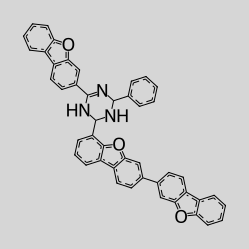 c1ccc(C2N=C(c3ccc4c(c3)oc3ccccc34)NC(c3cccc4c3oc3cc(-c5ccc6c(c5)oc5ccccc56)ccc34)N2)cc1